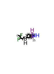 C=C(F)/C(F)=C\CBc1ccc2c(c1)P(C)NP2